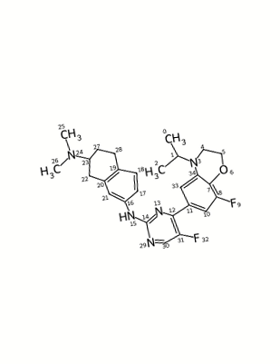 CC(C)N1CCOc2c(F)cc(-c3nc(Nc4ccc5c(c4)CC(N(C)C)CC5)ncc3F)cc21